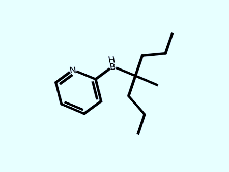 CCCC(C)(Bc1ccccn1)CCC